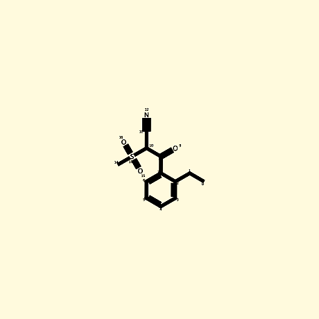 CCc1ccccc1C(=O)C(C#N)S(C)(=O)=O